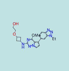 CCn1nnc2ccc(-c3ccn4nc(NC5CC(OCCO)C5)nc(OC)c34)cc21